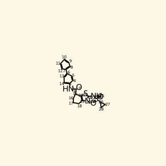 O=C(Nc1ccc(-c2ccccc2)cc1)C1CCCc2nc(NS(=O)(=O)C3CC3)sc21